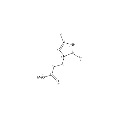 CCC1NC(C)=CN1CCC(=O)OC